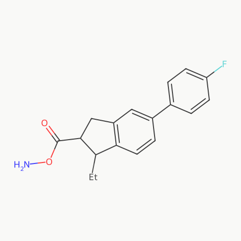 CCC1c2ccc(-c3ccc(F)cc3)cc2CC1C(=O)ON